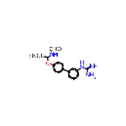 CCOC(=O)C(NC=O)Oc1ccc(-c2cccc(NC(=N)N)c2)cc1